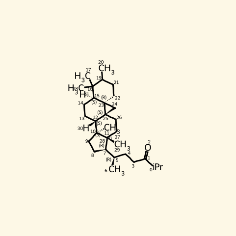 CC(C)C(=O)CC[C@@H](C)[C@H]1CC[C@@]2(C)[C@@H]3CC[C@H]4C(C)(C)C(C)CC[C@@]45C[C@@]35CC[C@]12C